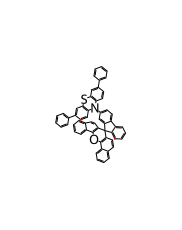 c1ccc(-c2ccc3c(c2)Sc2cc(-c4ccccc4)ccc2N3c2ccc3c(c2)C2(c4ccccc4-3)c3ccc4ccccc4c3Oc3c2ccc2ccccc32)cc1